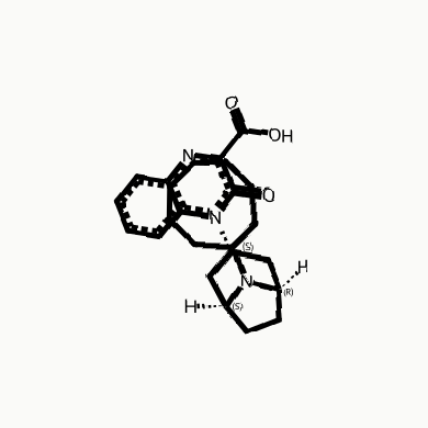 O=C(O)c1nc2ccccc2n([C@@H]2C[C@H]3CC[C@@H](C2)N3C2CCCCCCC2)c1=O